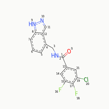 O=C(NCc1cccc2[nH]ncc12)c1cc(F)c(F)c(Cl)c1